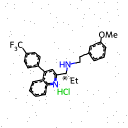 CC[C@@H](NCCc1cccc(OC)c1)c1cc(-c2ccc(C(F)(F)F)cc2)c2ccccc2n1.Cl